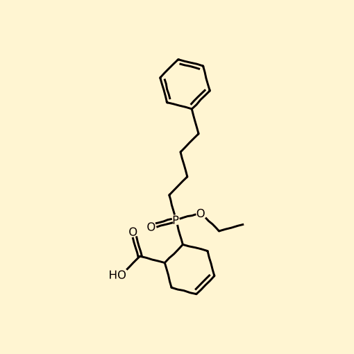 CCOP(=O)(CCCCc1ccccc1)C1CC=CCC1C(=O)O